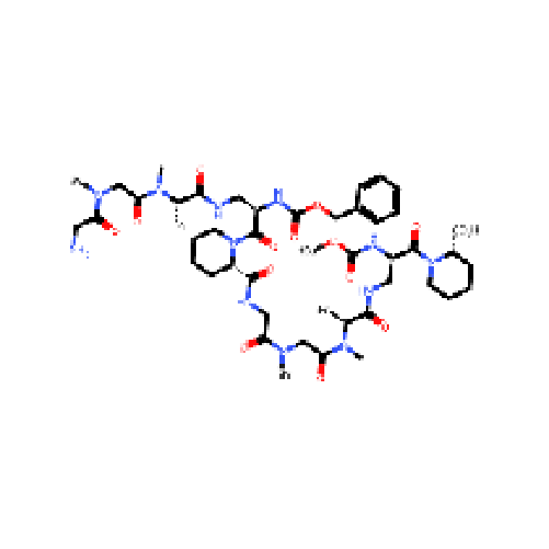 CC(C)[C@@H](C(=O)NC[C@@H](NC(=O)OCc1ccccc1)C(=O)N1CCCC[C@H]1C(=O)NCC(=O)N(CC(=O)N(C)[C@H](C(=O)NC[C@@H](NC(=O)OC(C)(C)C)C(=O)N1CCCC[C@H]1C(=O)O)C(C)C)C(C)C)N(C)C(=O)CN(C(=O)CN)C(C)C